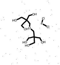 Cl[P]Cl.OCC(CO)(CO)COCC(CO)(CO)CO